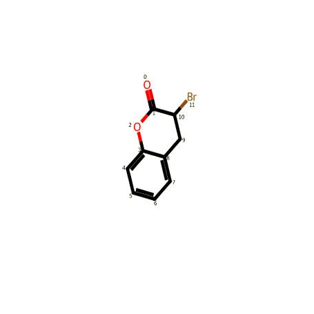 O=C1Oc2ccccc2CC1Br